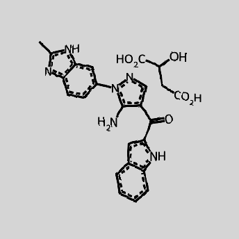 Cc1nc2ccc(-n3ncc(C(=O)c4cc5ccccc5[nH]4)c3N)cc2[nH]1.O=C(O)CC(O)C(=O)O